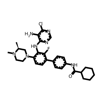 C[C@H]1CN(c2ccc(-c3ccc(NC(=O)C4CCCCC4)cc3)c(F)c2Nc2ncnc(Cl)c2N)CCN1C